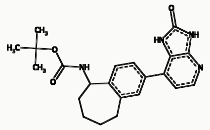 CC(C)(C)OC(=O)NC1CCCCc2cc(-c3ccnc4[nH]c(=O)[nH]c34)ccc21